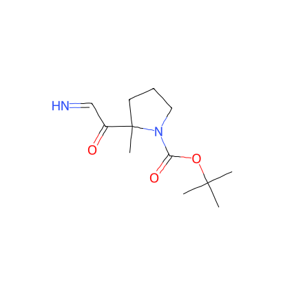 CC(C)(C)OC(=O)N1CCCC1(C)C(=O)C=N